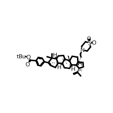 C=C(C)[C@@H]1CC[C@]2(CCN3CCS(=O)(=O)CC3)CC[C@]3(C)[C@H](CC[C@@H]4[C@@]5(C)CC=C(c6ccc(C(=O)OC(C)(C)C)cc6)C(C)(C)[C@@H]5CC[C@]43C)[C@@H]12